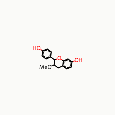 COC1Cc2ccc(O)cc2OC1c1ccc(O)cc1